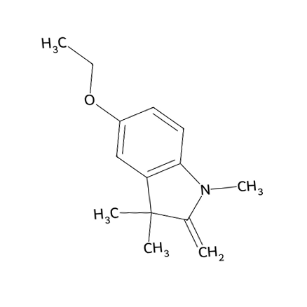 C=C1N(C)c2ccc(OCC)cc2C1(C)C